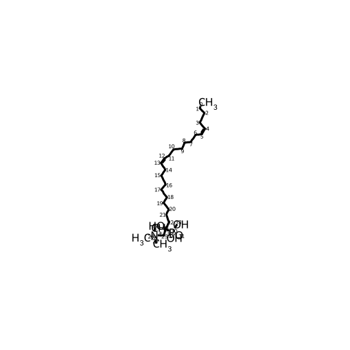 CCCC/C=C\CCCCCC/C=C\CCCCCCCCCC(O)(C[N+](C)(C)C)P(=O)(O)O